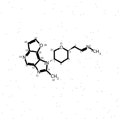 C/N=C/C[C@H]1CC[C@H](n2c(C)nc3cnc4ccoc4c32)CO1